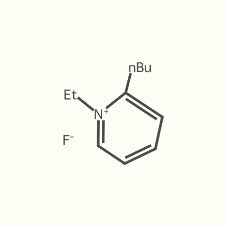 CCCCc1cccc[n+]1CC.[F-]